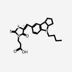 CCCCN1c2ccc(/C=C3/SC(=S)N(CCC(=O)O)C3=O)cc2C2CCCC21